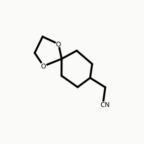 N#CCC1CCC2(CC1)OCCO2